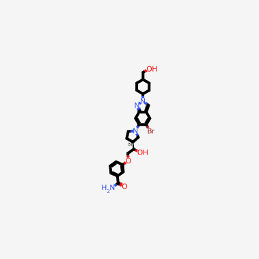 NC(=O)c1cccc(OCC(O)[C@H]2CCN(c3cc4nn(C5CCC(CO)CC5)cc4cc3Br)C2)c1